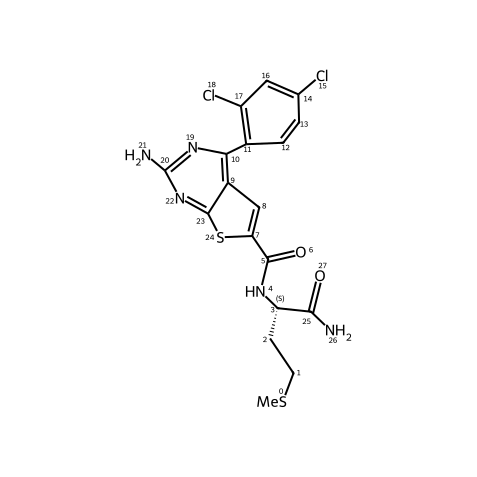 CSCC[C@H](NC(=O)c1cc2c(-c3ccc(Cl)cc3Cl)nc(N)nc2s1)C(N)=O